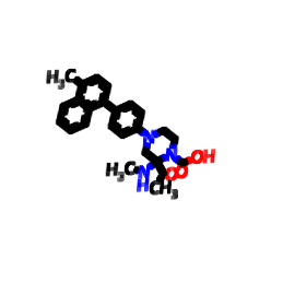 CNC1(C(C)=O)CN(c2ccc(-c3ccc(C)c4ccccc34)cc2)CCN1C(=O)O